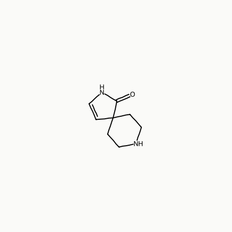 O=C1NC=CC12CCNCC2